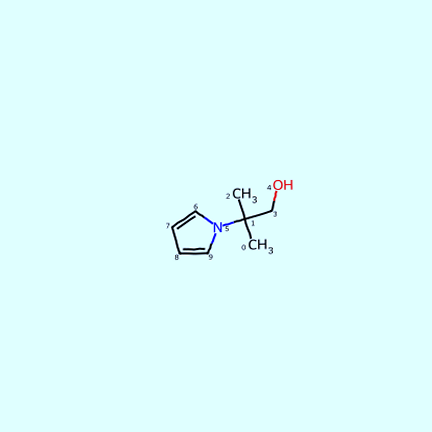 CC(C)(CO)n1cccc1